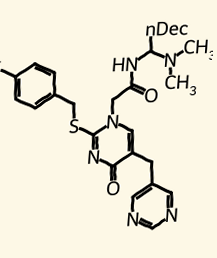 CCCCCCCCCCC(NC(=O)Cn1cc(Cc2cncnc2)c(=O)nc1SCc1ccc(F)cc1)N(C)C